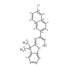 CC/C=C(\C=C1/Cc2ccccc2C1(C)C)c1ccc2cc(I)ccc2c1